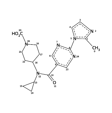 Cc1nccn1-c1ncc(C(=O)N(C2CC2)C2CCN(C(=O)O)CC2)cn1